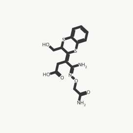 NC(=O)CO/N=C(N)/C(CC(=O)O)=C1\Sc2ccccc2SC1CO